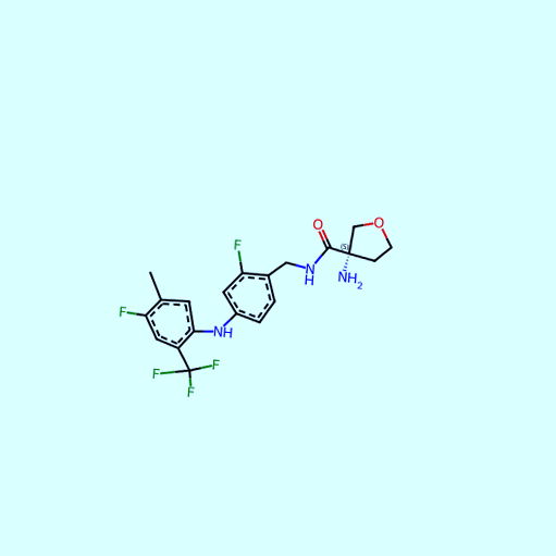 Cc1cc(Nc2ccc(CNC(=O)[C@]3(N)CCOC3)c(F)c2)c(C(F)(F)F)cc1F